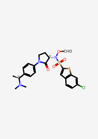 C[C@@H](c1ccc(N2CC[C@H](N(OC=O)S(=O)(=O)c3cc4ccc(Cl)cc4s3)C2=O)cc1)N(C)C